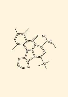 C=c1c2c(C)c(C)cc(C)c2n2c3ccccc3c3c([Si](C)(C)C)cc(/C(C#N)=C\C)c1c32